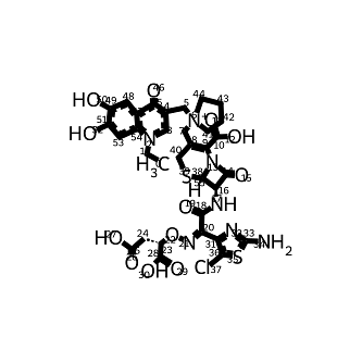 CCn1cc(C[N+]2(CC3=C(C(=O)O)N4C(=O)[C@@H](NC(=O)/C(=N\O[C@@H](CC(=O)O)C(=O)O)c5nc(N)sc5Cl)[C@H]4SC3)CCCC2)c(=O)c2cc(O)c(O)cc21